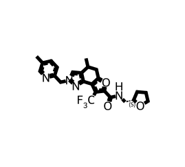 Cc1ccc(Cn2cc3c(n2)-c2c(oc(C(=O)NC[C@@H]4CCCO4)c2C(F)(F)F)CC3C)nc1